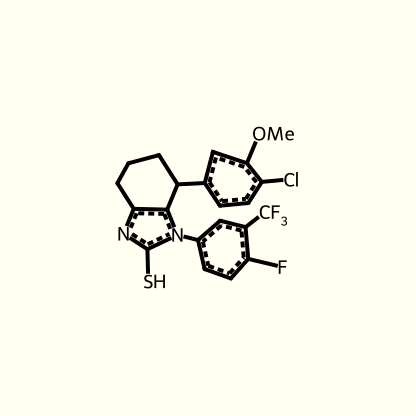 COc1cc(C2CCCc3nc(S)n(-c4ccc(F)c(C(F)(F)F)c4)c32)ccc1Cl